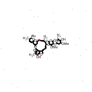 CC[C@H](C)[C@H]1OC2(C=C[C@@H]1C)C[C@@H]1C[C@@H](C/C=C(\C)[C@@H](OC3CC(OC)C(OC4CC(OC)C(O)C(C)O4)C(C)O3)[C@@H](C)/C=C/C=C3\CO[C@@H]4[C@H](O)C(C)=CC(C(=O)O1)[C@]34O)O2